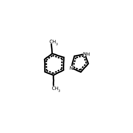 Cc1ccc(C)cc1.c1c[nH]cn1